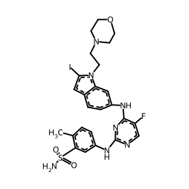 Cc1ccc(Nc2ncc(F)c(Nc3ccc4cc(I)n(CCN5CCOCC5)c4c3)n2)cc1S(N)(=O)=O